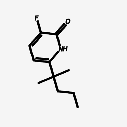 CCCC(C)(C)c1ccc(F)c(=O)[nH]1